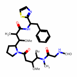 CCC(C)C(C(CC(=O)N1CCCC1C(OC)C(C)C(=O)NC(Cc1ccccc1)c1nccs1)OC)N(C)C(=O)CNC=O